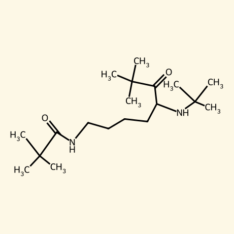 CC(C)(C)NC(CCCCNC(=O)C(C)(C)C)C(=O)C(C)(C)C